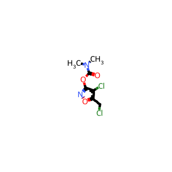 CN(C)C(=O)Oc1noc(CCl)c1Cl